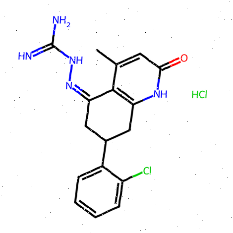 Cc1cc(=O)[nH]c2c1/C(=N\NC(=N)N)CC(c1ccccc1Cl)C2.Cl